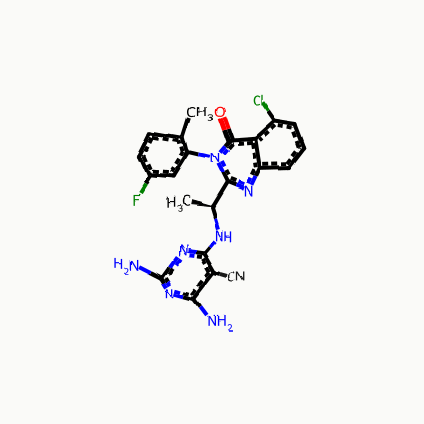 Cc1ccc(F)cc1-n1c([C@H](C)Nc2nc(N)nc(N)c2C#N)nc2cccc(Cl)c2c1=O